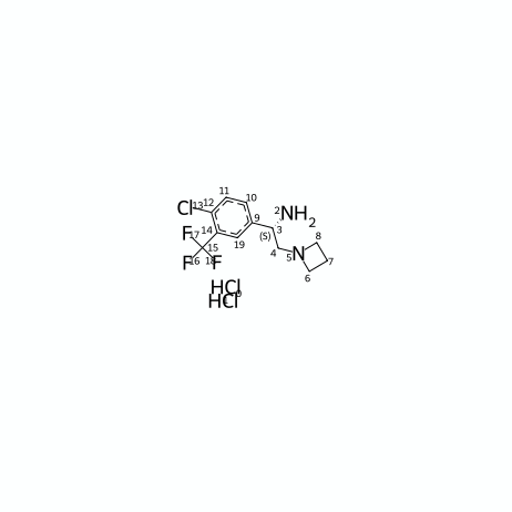 Cl.Cl.N[C@H](CN1CCC1)c1ccc(Cl)c(C(F)(F)F)c1